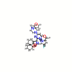 C[C@H](Oc1cc(N2CCN(C)C3(CCOC3)C2)nc(-c2noc3c2CCC[C@@]32CCCCC2=O)n1)[C@@H]1C[C@@H](F)CN1C